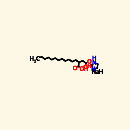 C1=NCCN1.CCCCCCCCCCCCC(CC(=O)O)C(=O)O.[NaH]